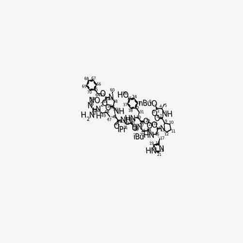 CCCCOC(=O)[C@@H](C)NC(=O)C1CCCN1C(=O)[C@H](Cc1c[nH]cn1)NC(=O)[C@@H](NC(=O)[C@H](Cc1ccc(O)cc1)NC(=O)[C@@H](NC(=O)[C@H](CCCN/C(N)=N\[N+](=O)[O-])NC(=O)CN(C)C(=O)OCc1ccccc1)C(C)C)C(C)CC